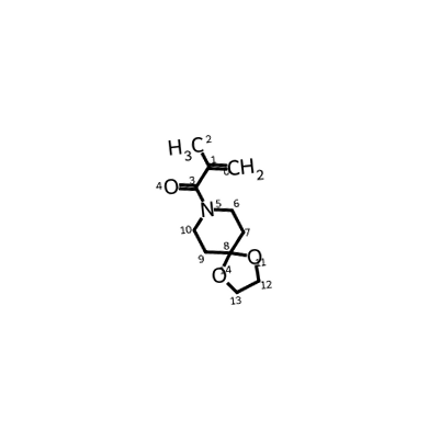 C=C(C)C(=O)N1CCC2(CC1)OCCO2